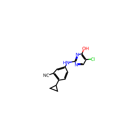 N#Cc1cc(Nc2ncc(Cl)c(O)n2)ccc1C1CC1